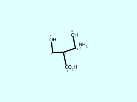 N.O=C(O)C(CO)CO